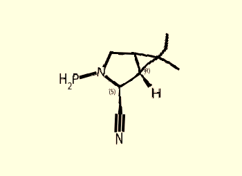 CC1(C)C2CN(P)[C@H](C#N)[C@H]21